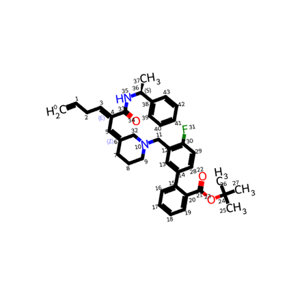 C=CC/C=C(\C=C1\CCCN(Cc2cc(-c3ccccc3C(=O)OC(C)(C)C)ccc2F)C1)C(=O)N[C@@H](C)c1ccccc1